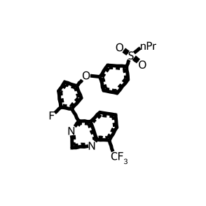 CCCS(=O)(=O)c1cccc(Oc2ccc(F)c(-c3ncnc4c(C(F)(F)F)cccc34)c2)c1